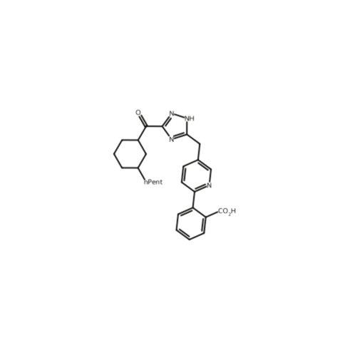 CCCCCC1CCCC(C(=O)c2n[nH]c(Cc3ccc(-c4ccccc4C(=O)O)nc3)n2)C1